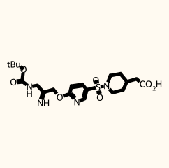 CC(C)(C)OC(=O)NCC(=N)COc1ccc(S(=O)(=O)N2CCC(CC(=O)O)CC2)cn1